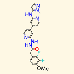 COc1ccc(CC(=O)NNc2cc(-c3ccnc(Nc4ccnn4C)c3)ccn2)c(F)c1F